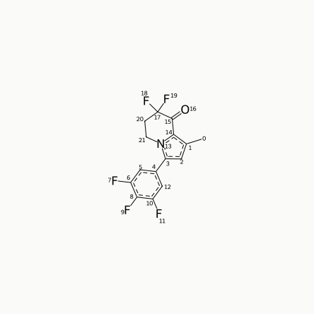 Cc1cc(-c2cc(F)c(F)c(F)c2)n2c1C(=O)C(F)(F)CC2